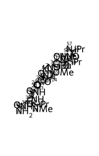 CC[C@H](C)C([C@@H](CC(=O)N1CCC[C@H]1[C@H](OC)[C@@H](C)C(=O)NS(=O)(=O)Cc1ccc(NC(=O)[C@H](CCCNC(N)=O)NC(=O)C(NC)C(C)C)cc1)OC)N(C)C(=O)[C@@H](NC(=O)C(C(C)C)N(C)C)C(C)C